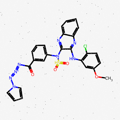 COc1ccc(Cl)c(Nc2nc3ccccc3nc2N(c2cccc(C(=O)N=[N+]=Nn3cccc3)c2)[SH](=O)=O)c1